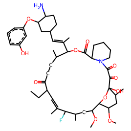 CCC1/C=C(\C)C(F)C(C)CC(OC)C2OC(O)(C(=O)C(=O)N3CCCCC3C(=O)OC(C(C)=CC3CCC(N)C(Oc4cccc(O)c4)C3)C(C)CCC1=O)C(C)CC2OC